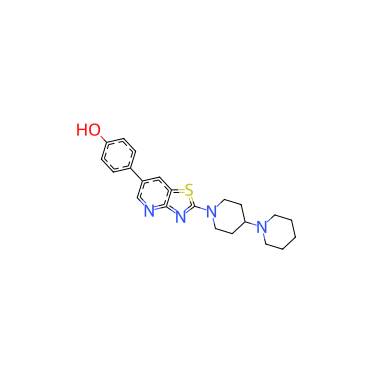 Oc1ccc(-c2cnc3nc(N4CCC(N5CCCCC5)CC4)sc3c2)cc1